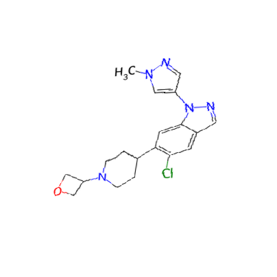 Cn1cc(-n2ncc3cc(Cl)c(C4CCN(C5COC5)CC4)cc32)cn1